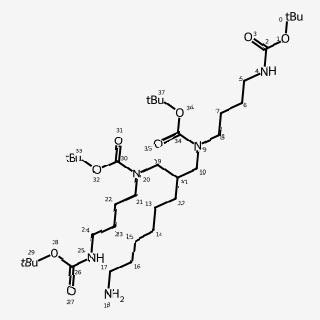 CC(C)(C)OC(=O)NCCCCN(CC(CCCCCCN)CN(CCCCNC(=O)OC(C)(C)C)C(=O)OC(C)(C)C)C(=O)OC(C)(C)C